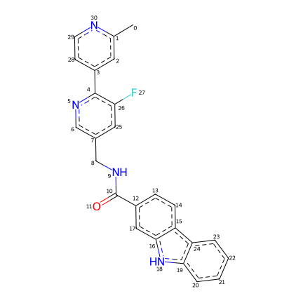 Cc1cc(-c2ncc(CNC(=O)c3ccc4c(c3)[nH]c3ccccc34)cc2F)ccn1